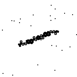 C=CC(=O)OCOc1ccc2cc(C(=O)Oc3ccc(OC(=O)c4ccc5cc(OCOC(=O)C(=C)C)ccc5c4)cc3F)ccc2c1